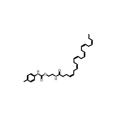 CC/C=C\C/C=C\C/C=C\C/C=C\C/C=C\C/C=C\CCC(=O)NCCOC(=O)Nc1ccc(C)cc1